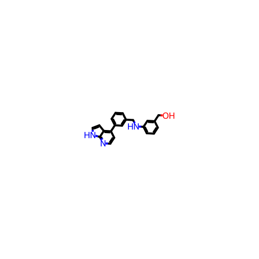 OCc1cccc(NCc2cccc(-c3ccnc4[nH]ccc34)c2)c1